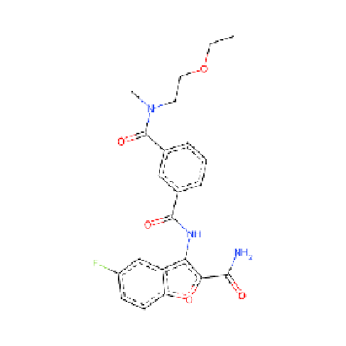 CCOCCN(C)C(=O)c1cccc(C(=O)Nc2c(C(N)=O)oc3ccc(F)cc23)c1